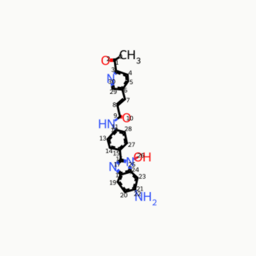 CC(=O)c1ccc(/C=C/C(=O)Nc2ccc(-c3nc4ccc(N)cc4n3O)cc2)cn1